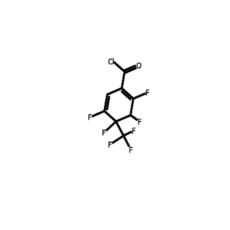 O=C(Cl)C1=C(F)C(F)C(F)(C(F)(F)F)C(F)=C1